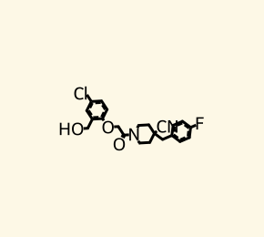 N#CC1(Cc2ccc(F)cc2)CCN(C(=O)COc2ccc(Cl)cc2CO)CC1